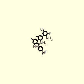 Cc1ccc(F)c(N)c1.Cc1cccc(N)c1.FN(F)c1ccccc1.Nc1ccc(Cl)cc1F